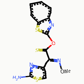 CON=C(C(=S)Oc1nc2ccccc2s1)c1csc(N)n1